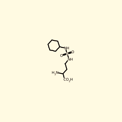 NC(CCNS(=O)(=O)NC1CCCCC1)C(=O)O